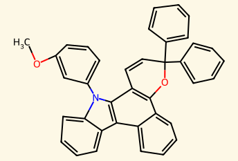 COc1cccc(-n2c3ccccc3c3c4ccccc4c4c(c32)C=CC(c2ccccc2)(c2ccccc2)O4)c1